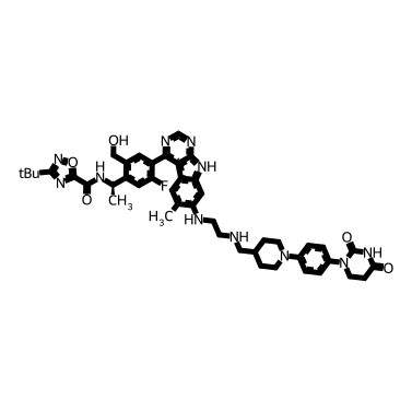 Cc1cc2c(cc1NCCNCC1CCN(c3ccc(N4CCC(=O)NC4=O)cc3)CC1)[nH]c1ncnc(-c3cc(CO)c([C@@H](C)NC(=O)c4nc(C(C)(C)C)no4)cc3F)c12